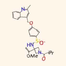 C=C(OC)C1(N[S+]([O-])c2ccc(OCc3cc(C)nc4ccccc34)cc2)CN(C(=O)C(C)C)C1